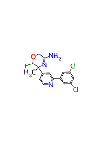 C[C@]1(c2ccnc(-c3cc(Cl)cc(Cl)c3)c2)N=C(N)CO[C@@H]1F